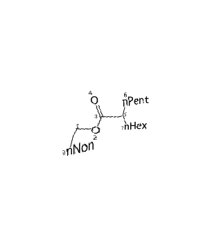 CCCCCCCCCCOC(=O)C(CCCCC)CCCCCC